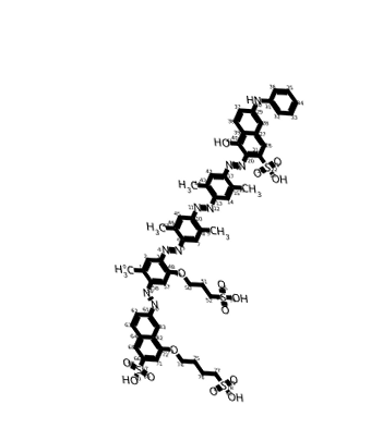 Cc1cc(N=Nc2cc(C)c(N=Nc3cc(C)c(N=Nc4c(S(=O)(=O)O)cc5cc(Nc6ccccc6)ccc5c4O)cc3C)cc2C)c(OCCCS(=O)(=O)O)cc1N=Nc1ccc2cc(S(=O)(=O)O)cc(OCCCCS(=O)(=O)O)c2c1